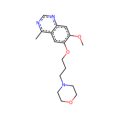 COc1cc2ncnc(C)c2cc1OCCCN1CCOCC1